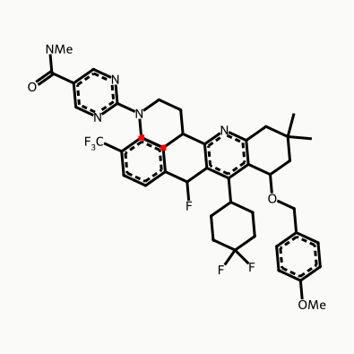 CNC(=O)c1cnc(N2CCC(c3nc4c(c(C5CCC(F)(F)CC5)c3C(F)c3ccc(C(F)(F)F)cc3)C(OCc3ccc(OC)cc3)CC(C)(C)C4)CC2)nc1